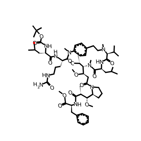 CC[C@H](C)[C@@H]([C@@H](CC(=O)N1CCC[C@H]1[C@H](OC)[C@@H](C)C(=O)N[C@@H](Cc1ccccc1)C(=O)OC)OC)N(C)C(=O)[C@H](CC(C)C)NC(=O)[C@H](C(C)C)N(C)CCc1ccc(N(C)C(=O)[C@H](CCCNC(N)=O)NC(=O)[C@H](CC(C)C)NC(=O)OC(C)(C)C)cc1